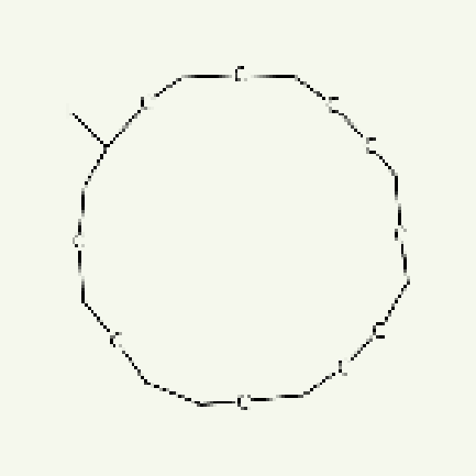 IC1CCCCCCCCCCCCCCCCCCC1